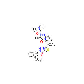 CCC(C)[C@H](NC(=O)CN(C)C)C(=O)N(C)[C@H](C[C@@H](OC(C)=O)c1nc(C(=O)N[C@H]2Cc3ccccc3[C@H](C(=O)O)C2)cs1)C(C)C